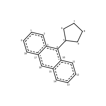 c1ccc2c([C]3CCCC3)c3ccccc3cc2c1